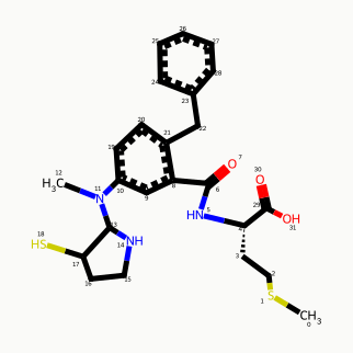 CSCC[C@H](NC(=O)c1cc(N(C)C2NCCC2S)ccc1Cc1ccccc1)C(=O)O